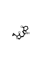 O=C1CCCc2[nH]c(C=C3C=NN(C4CC4)C3=O)cc21